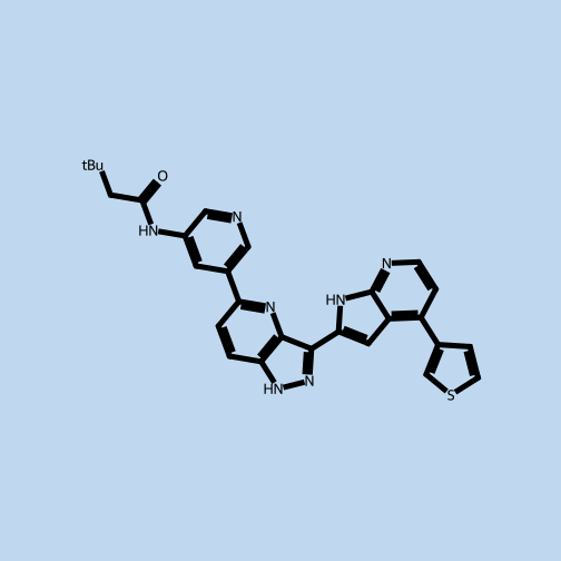 CC(C)(C)CC(=O)Nc1cncc(-c2ccc3[nH]nc(-c4cc5c(-c6ccsc6)ccnc5[nH]4)c3n2)c1